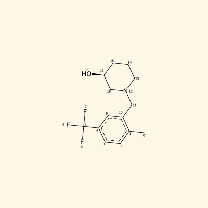 Cc1ccc(C(F)(F)F)cc1CN1CCC[C@H](O)C1